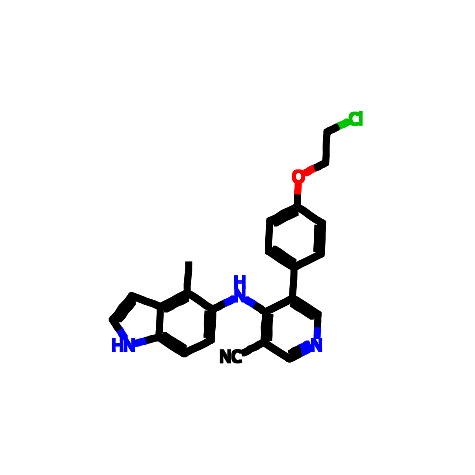 Cc1c(Nc2c(C#N)cncc2-c2ccc(OCCCl)cc2)ccc2[nH]ccc12